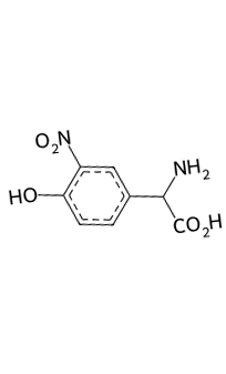 NC(C(=O)O)c1ccc(O)c([N+](=O)[O-])c1